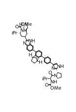 COC(=O)N[C@H](C(=O)N1CCC[C@H]1c1nc(-c2ccc(-c3ccc(-c4ccc5nc(C(CCCN)C[C@@H](NC(=O)OC)C(C)C)[nH]c5c4)c4c3[C@@H]3CC[C@H]4C3)cc2)c[nH]1)C(C)C